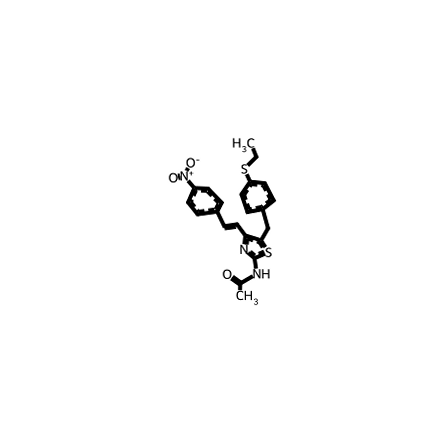 CCSc1ccc(Cc2sc(NC(C)=O)nc2C=Cc2ccc([N+](=O)[O-])cc2)cc1